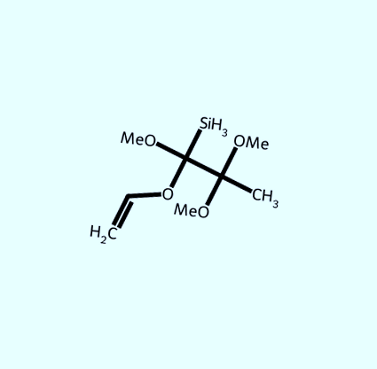 C=COC([SiH3])(OC)C(C)(OC)OC